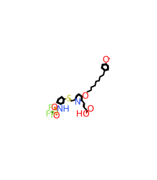 COc1ccc(CCCCCCCCOc2ccc(CSc3cccc(NS(=O)(=O)C(F)(F)F)c3)nc2C=CC(=O)O)cc1